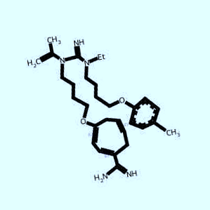 C=C(C)N(CCCCO/C1=C/C=C(/C(=N)N)C/C=C\C1)C(=N)N(CC)CCCCOc1ccc(C)cc1